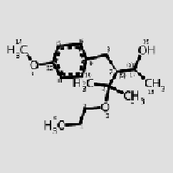 CCCOC(C)(C)[C@@H](Cc1ccc(OC)cc1)[C@H](C)O